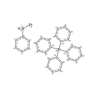 CC[NH2+]c1ccccc1.c1ccc([B-](c2ccccc2)(c2ccccc2)c2ccccc2)cc1